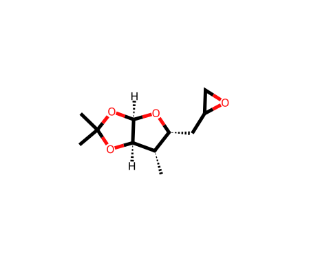 C[C@@H]1[C@H]2OC(C)(C)O[C@H]2O[C@@H]1CC1CO1